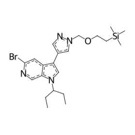 CCC(CC)n1cc(-c2cnn(COCC[Si](C)(C)C)c2)c2cc(Br)ncc21